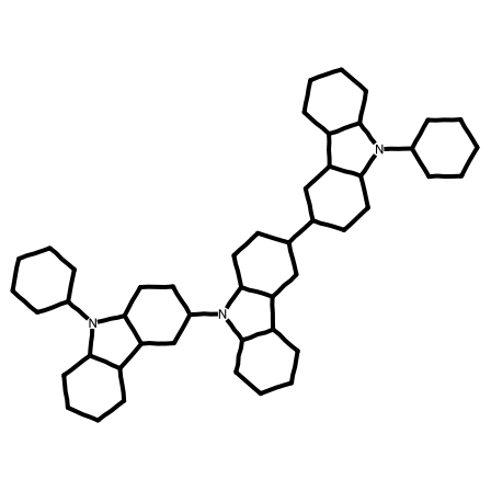 C1CCC(N2C3CCCCC3C3CC(C4CCC5C(C4)C4CCCCC4N5C4CCC5C(C4)C4CCCCC4N5C4CCCCC4)CCC32)CC1